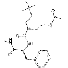 CNC(=O)[C@H](Cc1ccccc1)NC(=O)N(CCSC(C)=O)CCC(C)(C)C